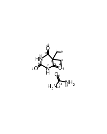 CCC1(CC)C(=O)NC(=O)NC1=O.NC(N)=O